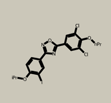 CCCOc1c(Cl)cc(-c2nc(-c3ccc(OC(C)C)c(I)c3)no2)cc1Cl